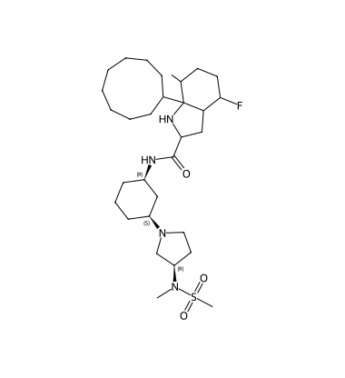 CC1CCC(F)C2CC(C(=O)N[C@@H]3CCC[C@H](N4CC[C@@H](N(C)S(C)(=O)=O)C4)C3)NC12C1CCCCCCCC1